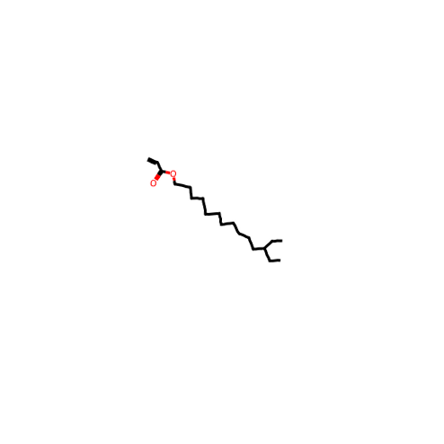 C=CC(=O)OCCCCCCCCCCCC(CC)CC